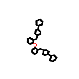 c1ccc(-c2ccc(Cc3ccccc3Oc3ccccc3Cc3ccc(-c4ccccc4)cc3)cc2)cc1